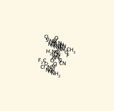 Cc1cc(F)ccc1-c1cnc2nc(N)nc(N3CCOCC3)c2n1.N#Cc1ccc(-c2cnc3nc(N)nc(N4CCOCC4)c3n2)s1.Nc1nc(N2CCOCC2)c2nc(-c3cc4ccccc4s3)cnc2n1.Nc1nc(N2CCOCC2)c2nc(-c3ccc(C(F)(F)F)cc3Cl)cnc2n1